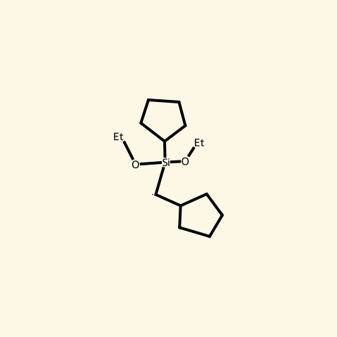 CCO[Si]([CH]C1CCCC1)(OCC)C1CCCC1